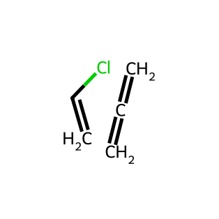 C=C=C.C=CCl